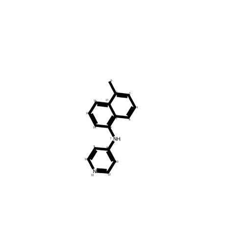 Cc1cccc2c(Nc3ccncc3)cccc12